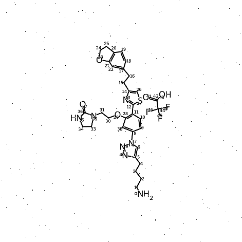 NCCCCc1cn(-c2ccc(-c3nc(CCc4ccc5c(c4)OCC5)cs3)c(OCCN3CCNC3=O)c2)nn1.O=C(O)C(F)(F)F